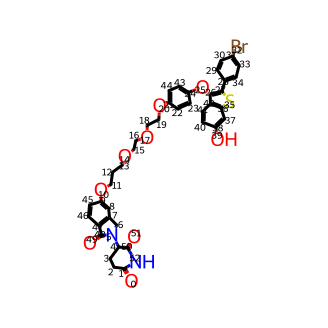 O=C1CCC(N2Cc3cc(OCCCOCCOCCOc4ccc(Oc5c(-c6ccc(Br)cc6)sc6cc(O)ccc56)cc4)ccc3C2=O)C(=O)N1